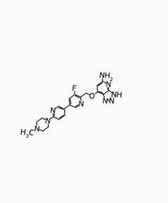 CN1CCN(c2ccc(-c3cnc(COc4cc(N)nc5[nH]nnc45)c(F)c3)cn2)CC1